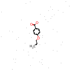 C=CCOc1ccc(C([O])=O)cc1